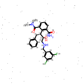 CCCN(CCC)C(=O)c1cccc(C(N)=O)c1[C@H](Cc1ccccc1)[C@@H](O)CNCc1cc(F)cc(F)c1